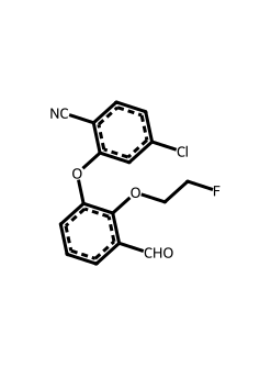 N#Cc1ccc(Cl)cc1Oc1cccc(C=O)c1OCCF